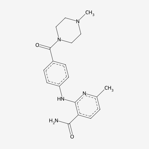 Cc1ccc(C(N)=O)c(Nc2ccc(C(=O)N3CCN(C)CC3)cc2)n1